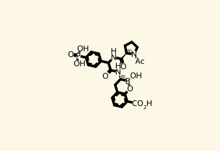 CC(=O)N1CCC[C@@H]1C(=O)NC(C(=O)N[C@H]1Cc2cccc(C(=O)O)c2OB1O)c1ccc(P(=O)(O)O)cc1